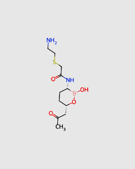 CC(=O)C[C@@H]1CC[C@H](NC(=O)CSCCN)B(O)O1